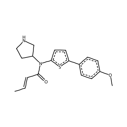 CC=CC(=O)N(c1ccc(-c2ccc(OC)cc2)s1)C1CCNC1